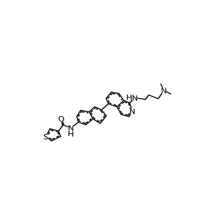 CN(C)CCCNc1nccc2c(-c3ccc4cc(NC(=O)c5ccsc5)ccc4c3)cccc12